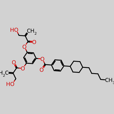 C=C(CO)C(=O)Oc1cc(OC(=O)C(=C)CO)cc(OC(=O)c2ccc(C3CCC(CCCCC)CC3)cc2)c1